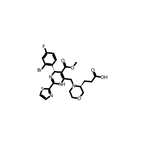 COC(=O)C1=C(CN2CCOC[C@@H]2CCC(=O)O)NC(c2nccs2)=N[C@@H]1c1ccc(F)cc1Br